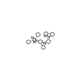 c1ccc(-c2nc(-c3ccccc3)n(-c3ccc4c(c3)c3ccccc3n4-c3cccc(-n4c5ccccc5c5cccnc54)c3)n2)cc1